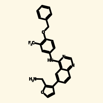 NCc1occc1-c1ccc2ncnc(Nc3ccc(OCc4ccccc4)c(C(F)(F)F)c3)c2c1